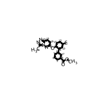 COC(=O)c1cccc(-c2cc(F)ccc2Oc2ccc3nnc(C)n3n2)c1